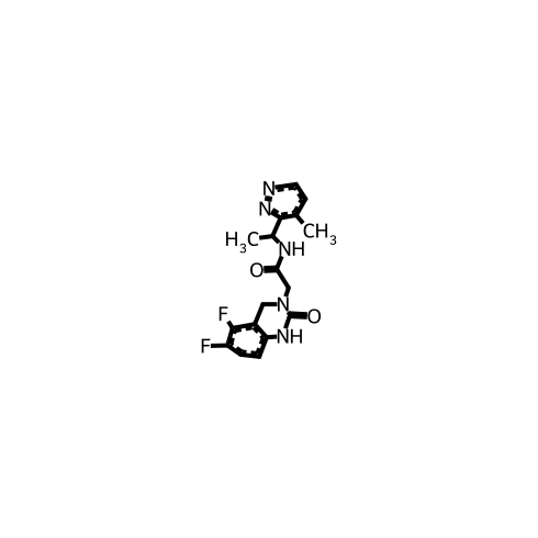 Cc1ccnnc1C(C)NC(=O)CN1Cc2c(ccc(F)c2F)NC1=O